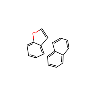 c1ccc2ccccc2c1.c1ccc2occc2c1